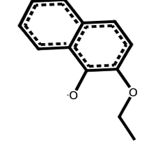 CCOc1ccc2ccccc2c1[O]